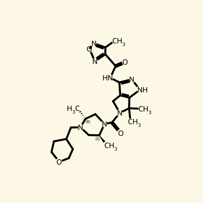 Cc1nonc1C(=O)Nc1n[nH]c2c1CN(C(=O)N1C[C@@H](C)N(CC3CCOCC3)C[C@@H]1C)C2(C)C